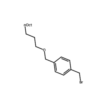 CCCCCCCCCCCOCc1ccc(CBr)cc1